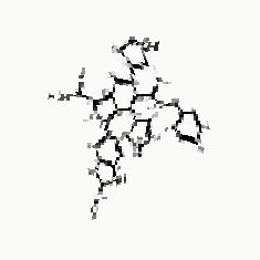 NC(=O)c1oc(-c2ccc3c(c2)CC(=C=O)N3)c2c(C3C=CNC3)c(C(=O)OCc3ccccc3)c(C3C=CNC3)cc12